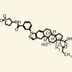 CCC(=O)O[C@]1(C(=O)S)CC[C@H]2[C@@H]3CCC4=Cc5c(cnn5-c5cccc(C(=O)NC6CCS(=O)(=O)C6)c5)C[C@]4(C)[C@H]3[C@@H](O)C[C@@]21C